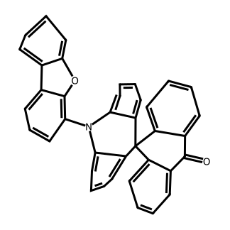 O=C1c2ccccc2C2(c3ccccc31)c1ccccc1N(c1cccc3c1oc1ccccc13)c1ccccc12